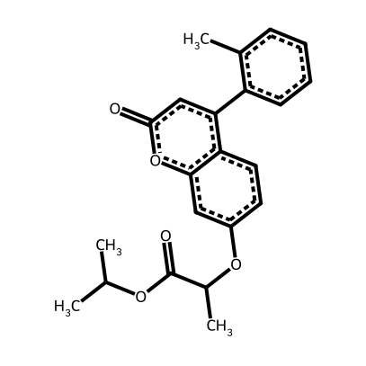 Cc1ccccc1-c1cc(=O)oc2cc(OC(C)C(=O)OC(C)C)ccc12